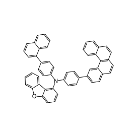 c1ccc2c(-c3ccc(N(c4ccc(-c5ccc6ccc7ccc8ccccc8c7c6c5)cc4)c4cccc5oc6ccccc6c45)cc3)cccc2c1